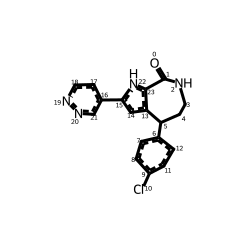 O=C1NCCC(c2ccc(Cl)cc2)c2cc(-c3ccnnc3)[nH]c21